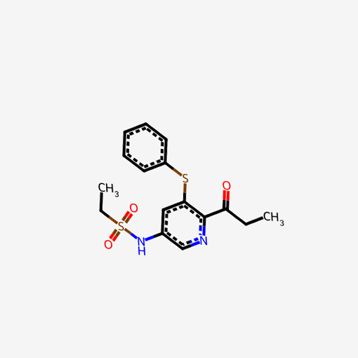 CCC(=O)c1ncc(NS(=O)(=O)CC)cc1Sc1ccccc1